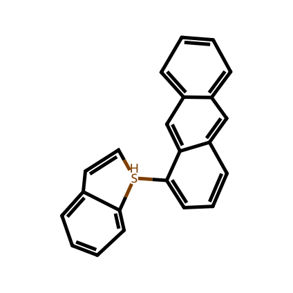 C1=C[SH](c2cccc3cc4ccccc4cc23)c2ccccc21